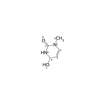 CN1C=CC(O)NC1=O